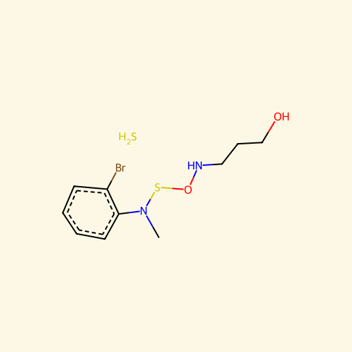 CN(SONCCCO)c1ccccc1Br.S